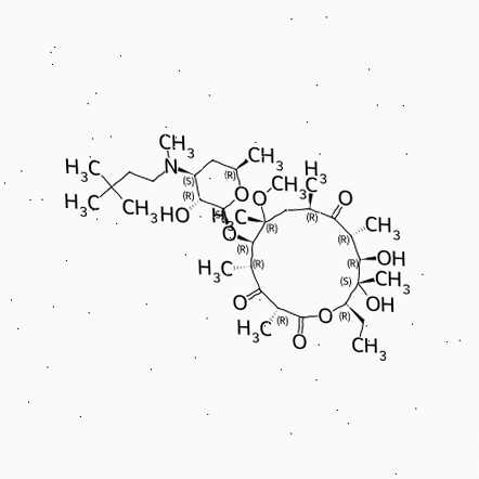 CC[C@H]1OC(=O)[C@H](C)C(=O)[C@H](C)[C@@H](O[C@@H]2O[C@H](C)C[C@H](N(C)CCC(C)(C)C)[C@H]2O)[C@](C)(OC)C[C@@H](C)C(=O)[C@H](C)[C@@H](O)[C@]1(C)O